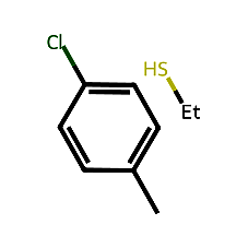 CCS.Cc1ccc(Cl)cc1